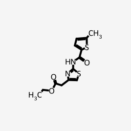 CCOC(=O)Cc1csc(NC(=O)c2ccc(C)s2)n1